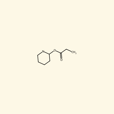 CCC(=O)OC1CCCC[N]1